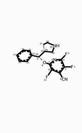 N#Cc1c(F)c(F)nc(O[C@H](c2ccccc2)[C@@H]2CCNC2)c1F